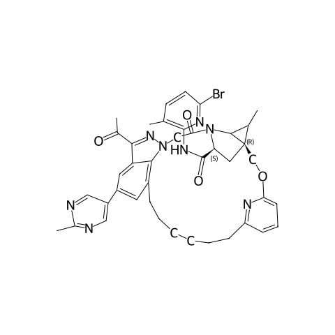 CC(=O)c1nn2c3c(cc(-c4cnc(C)nc4)cc13)CCCCCCc1cccc(n1)OC[C@@]13C[C@@H](C(=O)Nc4nc(Br)ccc4C)N(C(=O)C2)C1C3C